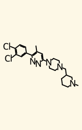 Cc1cc(N2CCN(CC3CCCN(C)C3)CC2)nnc1-c1ccc(Cl)c(Cl)c1